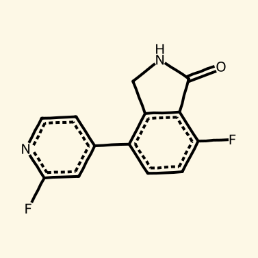 O=C1NCc2c(-c3ccnc(F)c3)ccc(F)c21